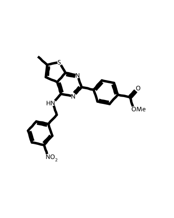 COC(=O)c1ccc(-c2nc(NCc3cccc([N+](=O)[O-])c3)c3cc(C)sc3n2)cc1